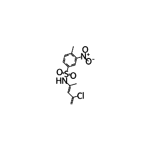 C=C(Cl)/C=C(\C)NS(=O)(=O)c1ccc(C)c([N+](=O)[O-])c1